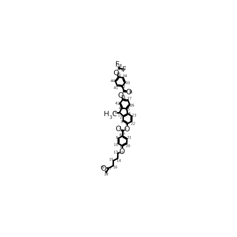 CC1c2cc(OC(=O)c3ccc(OCCCCC4CO4)cc3)ccc2-c2ccc(OC(=O)c3ccc(OC(F)F)cc3)cc21